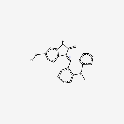 CCOc1ccc2c(c1)NC(=O)/C2=C/c1ccccc1N(C)c1ccccc1